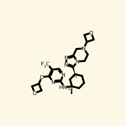 C[C@]1(Nc2ncc(C(F)(F)F)c(OC3COC3)n2)CCC[C@H](c2nnc3n2CCN(C2COC2)C3)C1